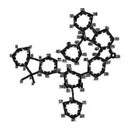 CC1(C)c2ccccc2-c2ccc(-c3nc(-c4ccccc4)nc(-c4ccc5oc6ccc7c8ccccc8n(-c8ccccc8)c7c6c5c4)n3)cc21